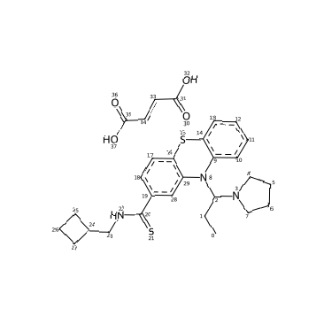 CCC(N1CCCC1)N1c2ccccc2Sc2ccc(C(=S)NCC3CCC3)cc21.O=C(O)C=CC(=O)O